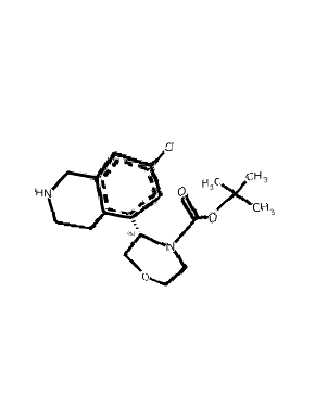 CC(C)(C)OC(=O)N1CCOC[C@@H]1c1cc(Cl)cc2c1CCNC2